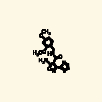 COc1ccc(CNC(=O)c2c(-c3nccs3)noc2N)c(OC)c1